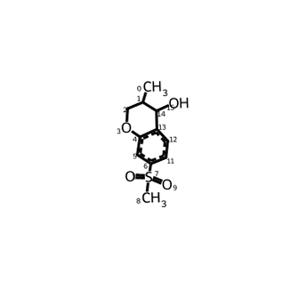 CC1COc2cc(S(C)(=O)=O)ccc2C1O